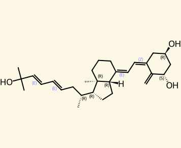 C=C1/C(=C\C=C2/CCC[C@]3(C)[C@@H]([C@H](C)C/C=C/C=C/C(C)(C)O)CC[C@@H]23)C[C@@H](O)C[C@@H]1O